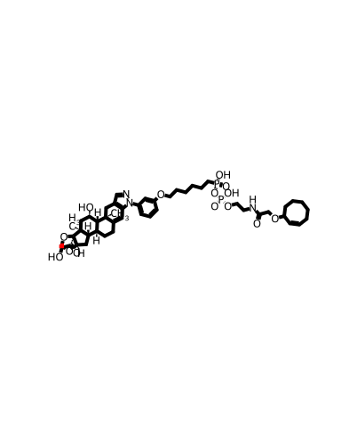 C[C@]12Cc3cnn(-c4cccc(OCCCCCCP(=O)(O)OP(=O)(O)OCCNC(=O)COC5/C=C\CCCCC5)c4)c3C=C1CC[C@@H]1[C@@H]2[C@@H](O)C[C@@]2(C)[C@H]1C[C@H]1OCO[C@]12C(=O)CO